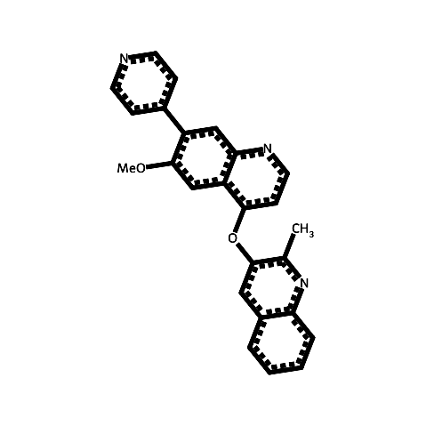 COc1cc2c(Oc3cc4ccccc4nc3C)ccnc2cc1-c1ccncc1